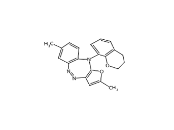 Cc1ccc2c(c1)N=Nc1cc(C)oc1N2c1cccc2c1OCCC2